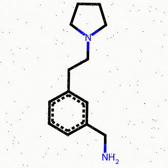 NCc1cccc(CCN2CCCC2)c1